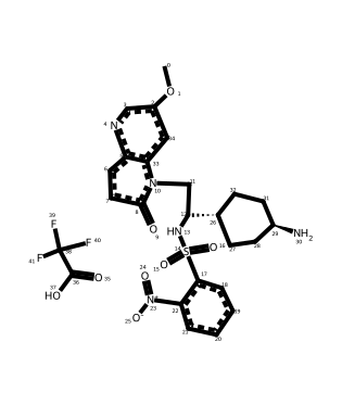 COc1cnc2ccc(=O)n(CC(NS(=O)(=O)c3ccccc3[N+](=O)[O-])[C@H]3CC[C@H](N)CC3)c2c1.O=C(O)C(F)(F)F